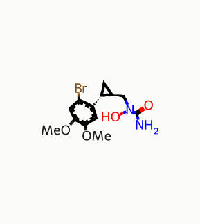 COc1cc(Br)c([C@@H]2C[C@H]2CN(O)C(N)=O)cc1OC